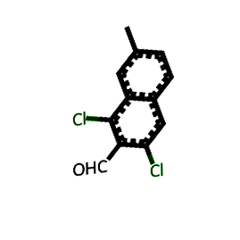 Cc1ccc2cc(Cl)c(C=O)c(Cl)c2c1